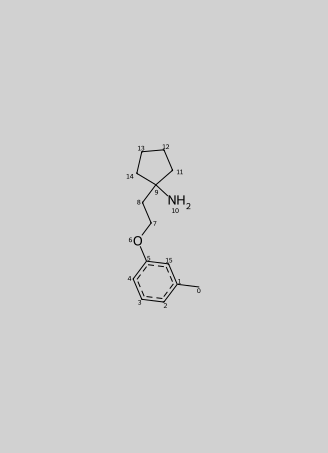 Cc1cccc(OCCC2(N)CCCC2)c1